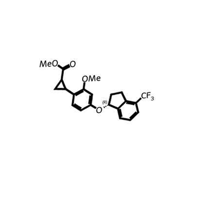 COC(=O)C1CC1c1ccc(O[C@@H]2CCc3c2cccc3C(F)(F)F)cc1OC